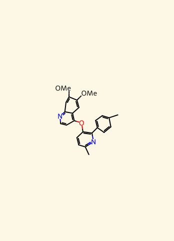 COc1cc2nccc(Oc3ccc(C)nc3-c3ccc(C)cc3)c2cc1OC